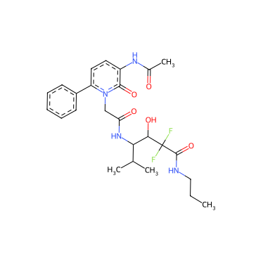 CCCNC(=O)C(F)(F)C(O)C(NC(=O)Cn1c(-c2ccccc2)ccc(NC(C)=O)c1=O)C(C)C